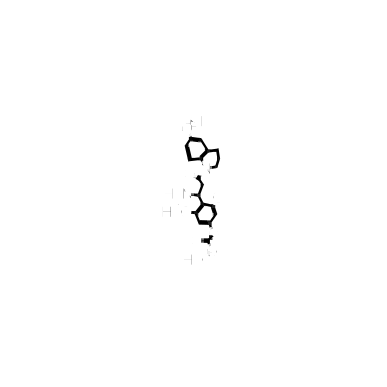 COC(=O)Oc1cc(C)c(C(N)CC(=O)N2CCCc3cc(OC)ccc32)c(Cl)c1